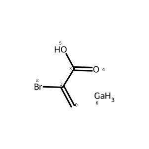 C=C(Br)C(=O)O.[GaH3]